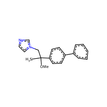 COC([SiH3])(Cn1ccnc1)c1ccc(-c2ccccc2)cc1